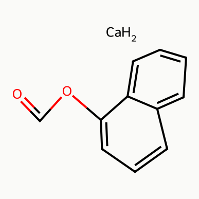 O=COc1cccc2ccccc12.[CaH2]